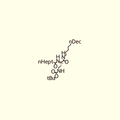 CCCCCCCCCCCCCCCNC(=O)[C@H](CCNC(=O)OC(C)(C)C)NC(=O)CCCCCCC